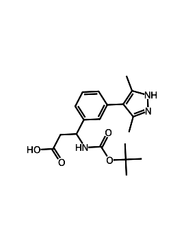 Cc1n[nH]c(C)c1-c1cccc(C(CC(=O)O)NC(=O)OC(C)(C)C)c1